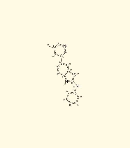 Cc1cncc(-c2ccc3nc(Nc4ccccc4)sc3c2)c1